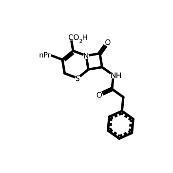 CCCC1=C(C(=O)O)N2C(=O)C(NC(=O)Cc3ccccc3)C2SC1